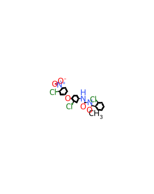 CO/C(=N\C(=O)Nc1ccc(Oc2ccc([N+](=O)[O-])c(Cl)c2)c(Cl)c1)c1ccccc1Cl